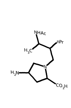 CCCC(CN1CC(N)CC1C(=O)O)C(C)NC(C)=O